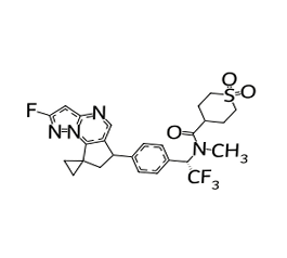 CN(C(=O)C1CCS(=O)(=O)CC1)[C@@H](c1ccc(C2CC3(CC3)c3c2cnc2cc(F)nn32)cc1)C(F)(F)F